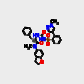 CN(C(=O)[C@H](Cc1ccccc1)NC(=O)NS(=O)(=O)c1ccccc1-c1cnn(C)c1)c1ccc2c(c1)CCO2